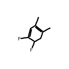 CC1=C(C)CC(F)C(F)=C1